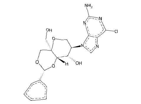 Nc1nc(Cl)c2ncn([C@@H]3CO[C@]4(CO)CO[C@@H](c5ccccc5)O[C@H]4[C@H]3O)c2n1